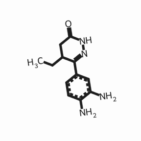 CCC1CC(=O)NN=C1c1ccc(N)c(N)c1